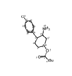 CC(C)(C)C(=O)ON1CCC(c2ccc(Cl)cc2)C(N)C1